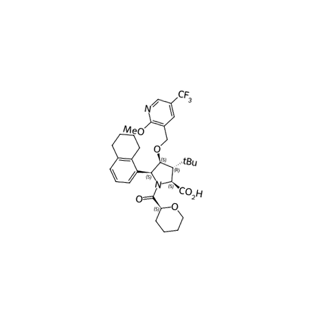 COc1ncc(C(F)(F)F)cc1CO[C@H]1[C@H](C(C)(C)C)[C@@H](C(=O)O)N(C(=O)[C@@H]2CCCCO2)[C@H]1c1cccc2c1CCCC2